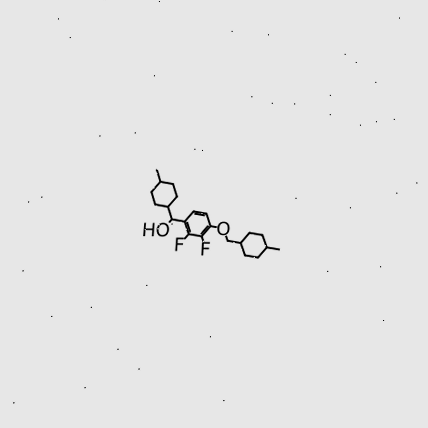 CC1CCC(COc2ccc(C(O)C3CCC(C)CC3)c(F)c2F)CC1